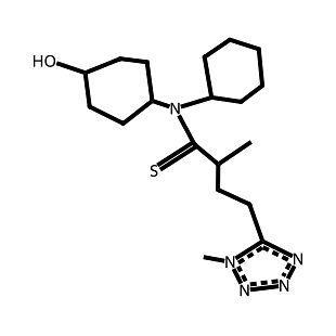 CC(CCc1nnnn1C)C(=S)N(C1CCCCC1)C1CCC(O)CC1